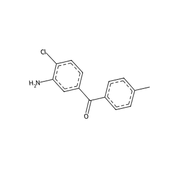 Cc1ccc(C(=O)c2ccc(Cl)c(N)c2)cc1